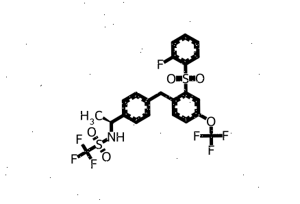 C[C@H](NS(=O)(=O)C(F)(F)F)c1ccc(Cc2ccc(OC(F)(F)F)cc2S(=O)(=O)c2ccccc2F)cc1